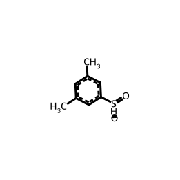 Cc1cc(C)cc([SH](=O)=O)c1